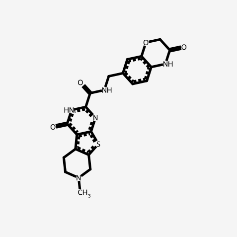 CN1CCc2c(sc3nc(C(=O)NCc4ccc5c(c4)OCC(=O)N5)[nH]c(=O)c23)C1